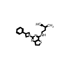 C#CC(=C)CCNc1nc(N2CC(c3ccccc3)C2)nc2c1SCC2